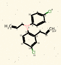 C=CCB(c1ccc(Cl)cc1)c1ccc(Cl)cc1CC=C